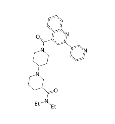 CCN(CC)C(=O)C1CCCN(C2CCN(C(=O)c3cc(-c4cccnc4)nc4ccccc34)CC2)C1